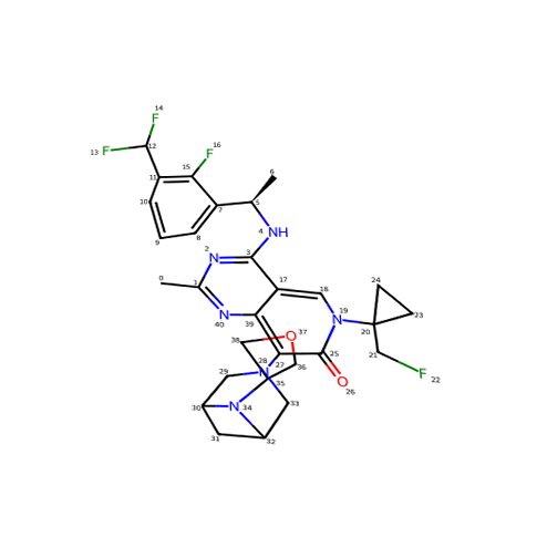 Cc1nc(N[C@H](C)c2cccc(C(F)F)c2F)c2cn(C3(CF)CC3)c(=O)c(N3CC4CC(C3)N4C3COC3)c2n1